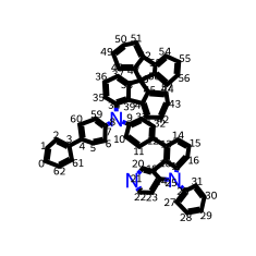 c1ccc(-c2ccc(N(c3ccc(-c4cccc5c4c4cnccc4n5-c4ccccc4)cc3)c3cccc4c3-c3ccccc3C43c4ccccc4-c4ccccc43)cc2)cc1